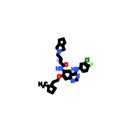 CC1CCCC1CCOc1cc2ncnc(Nc3ccc(F)c(Cl)c3)c2cc1NC(=O)/C=C/CN1CC2CCCC2C1